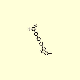 CC(C)(C)c1cccc(-c2ccc(-c3ccc(-c4ccc(-c5ccc(-c6cc(C(C)(C)C)cc(C(C)(C)C)c6)cc5)cc4)cc3)cc2C(C)(C)C)c1